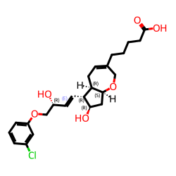 O=C(O)CCCCC1=CC[C@@H]2[C@@H](/C=C/[C@@H](O)COc3cccc(Cl)c3)[C@H](O)C[C@@H]2OC1